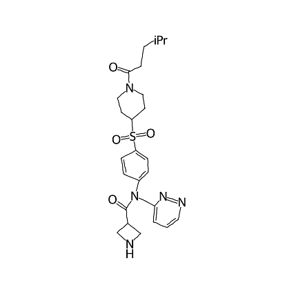 CC(C)CCC(=O)N1CCC(S(=O)(=O)c2ccc(N(C(=O)C3CNC3)c3cccnn3)cc2)CC1